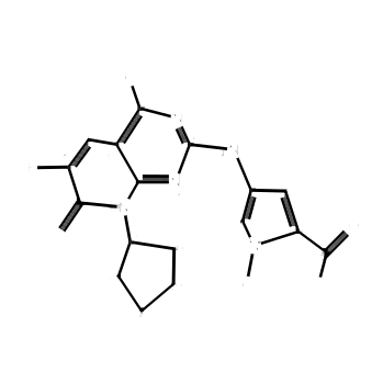 Cc1nc(Nc2cc(C(=O)O)n(C)c2)nc2c1cc(F)c(=O)n2C1CCCC1